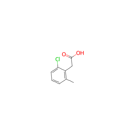 Cc1cccc(Cl)c1CC(=O)O